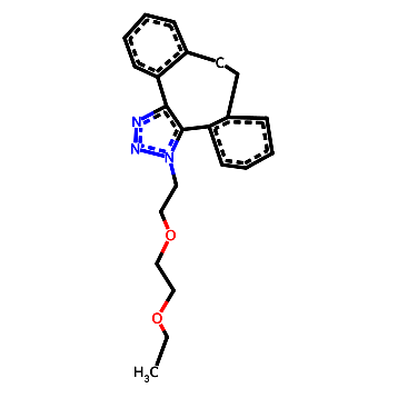 CCOCCOCCn1nnc2c1-c1ccccc1CCc1ccccc1-2